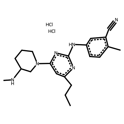 CCCc1cc(N2CCCC(NC)C2)nc(Nc2ccc(C)c(C#N)c2)n1.Cl.Cl